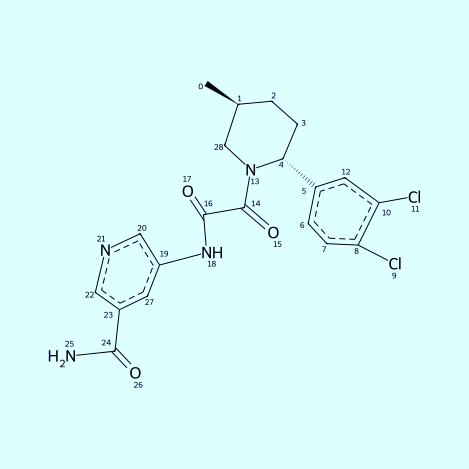 C[C@H]1CC[C@H](c2ccc(Cl)c(Cl)c2)N(C(=O)C(=O)Nc2cncc(C(N)=O)c2)C1